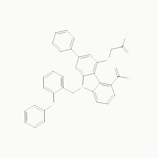 NC(=O)c1cccc2c1c1c(OCC(=O)O)cc(-c3ccccc3)cc1n2Cc1ccccc1Oc1ccccc1